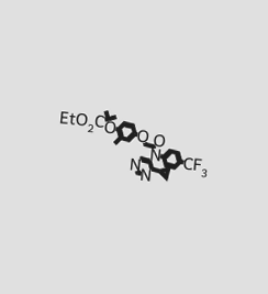 CCOC(=O)C(C)(C)Oc1ccc(OCC(=O)N(c2ccc(C(F)(F)F)cc2)c2cncnc2C2CC2)cc1C